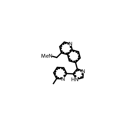 CNCc1ccnc2ccc(-c3nc[nH]c3-c3cccc(C)n3)cc12